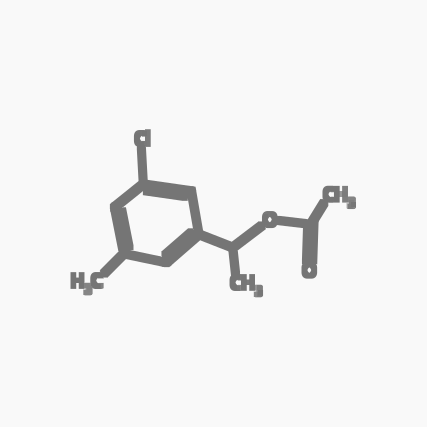 CC(=O)OC(C)c1cc(C)cc(Cl)c1